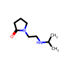 CC(C)NCCN1CCCC1=O